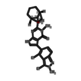 Cn1nc2ccc(-c3c[nH]c4nc(N5C[C@H]6CCC[C@@H]5[C@@H]6N)n(C)c(=O)c34)c(Cl)c2c1Cl